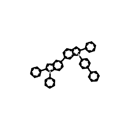 c1ccc(-c2ccc(-n3c(-c4ccccc4)cc4ccc(-c5ccc6c(c5)cc(-c5ccccc5)n6-c5ccccc5)cc43)cc2)cc1